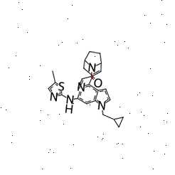 C=CC(=O)N1C2C=C(c3nc(Nc4ncc(C)s4)cc4c3ccn4CC3CC3)CC1CC2